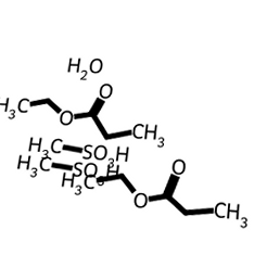 CCOC(=O)CC.CCOC(=O)CC.CS(=O)(=O)O.CS(=O)(=O)O.O